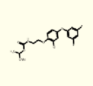 COC(C)OC(=O)NCCOc1ccc(Oc2cc(F)cc(F)c2)cc1Cl